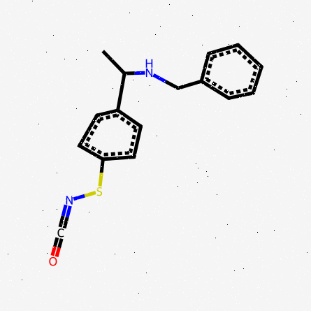 CC(NCc1ccccc1)c1ccc(SN=C=O)cc1